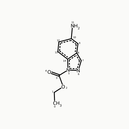 CCOC(=O)n1ncc2cc(N)ccc21